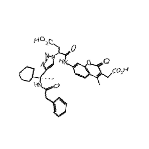 Cc1c(CC(=O)O)c(=O)oc2cc(NC(=O)C(CC(=O)O)n3cc([C@@](C)(NC(=O)Cc4ccccc4)C4CCCCC4)nn3)ccc12